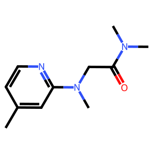 Cc1ccnc(N(C)CC(=O)N(C)C)c1